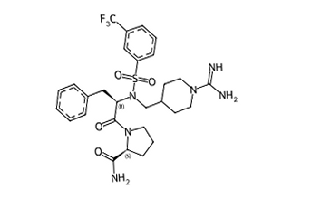 N=C(N)N1CCC(CN([C@H](Cc2ccccc2)C(=O)N2CCC[C@H]2C(N)=O)S(=O)(=O)c2cccc(C(F)(F)F)c2)CC1